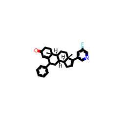 C[C@]12CCC(=O)C=C1C(c1ccccc1)C[C@@H]1[C@@H]2CC[C@]2(C)C(c3cncc(F)c3)=CC[C@@H]12